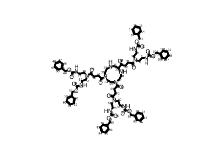 O=C(NCCN(CCNC(=O)OCc1ccccc1)C(=O)CCC(=O)C1CNCCN(C(=O)CCC(=O)N(CCNC(=O)OCc2ccccc2)CCNC(=O)OCc2ccccc2)CCN(C(=O)CCC(=O)N(CCNC(=O)OCc2ccccc2)CCNC(=O)OCc2ccccc2)CCN1)OCc1ccccc1